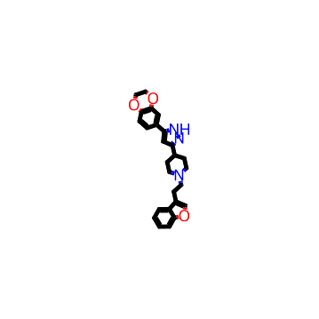 c1ccc2c(CCN3CCC(c4cc(-c5ccc6c(c5)OCCO6)[nH]n4)CC3)coc2c1